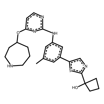 Cc1cc(Nc2nccc(OC3CCCNCC3)n2)cc(-c2cnc(C3(O)CCC3)s2)c1